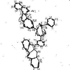 C1=CC2C=C3c4ccccc4N(c4cccc(-c5nc(-c6ccccc6)nc(-c6ccc7oc8c9ccccc9ccc8c7c6)n5)c4)C3CC2C=C1